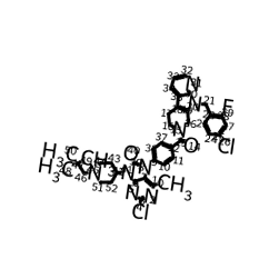 Cc1nc(Cl)nc2c1n(-c1ccc(C(=O)N3CCc4c(n(Cc5ccc(Cl)cc5F)c5ncccc45)C3)cc1)c(=O)n2C1CCN(CC(C)(C)C)CC1